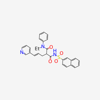 CCN(C(=O)C(CC=Cc1cccnc1)C(=O)NS(=O)(=O)c1ccc2ccccc2c1)c1ccccc1